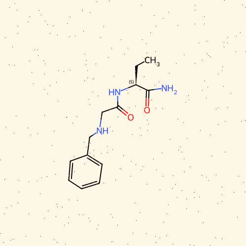 CC[C@H](NC(=O)CNCc1ccccc1)C(N)=O